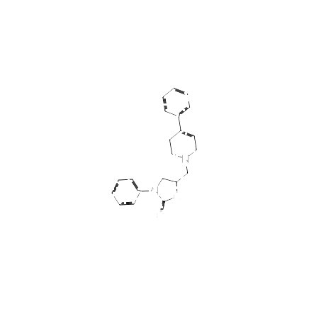 O=C1OC(CN2CC=C(c3ccccc3)CC2)CN1c1ccccc1